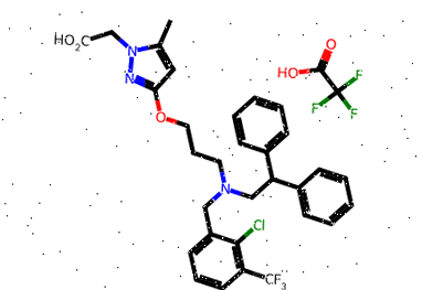 Cc1cc(OCCCN(Cc2cccc(C(F)(F)F)c2Cl)CC(c2ccccc2)c2ccccc2)nn1CC(=O)O.O=C(O)C(F)(F)F